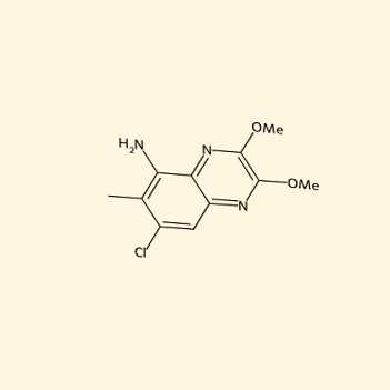 COc1nc2cc(Cl)c(C)c(N)c2nc1OC